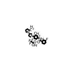 Cc1cc(NC(=O)c2cccc(F)c2)ccc1N1CCC(N2CCCC2C)C1.O=C(O)C(F)(F)F